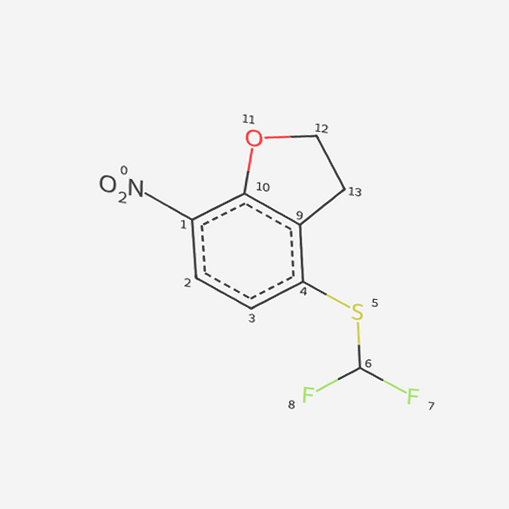 O=[N+]([O-])c1ccc(SC(F)F)c2c1OCC2